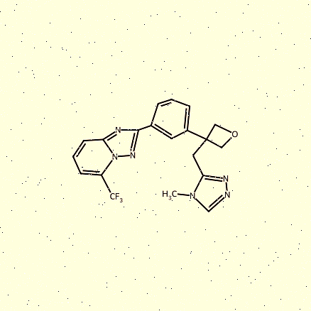 Cn1cnnc1CC1(c2cccc(-c3nc4cccc(C(F)(F)F)n4n3)c2)COC1